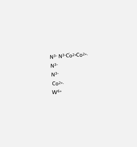 [Co+2].[Co+2].[Co+2].[N-3].[N-3].[N-3].[N-3].[W+6]